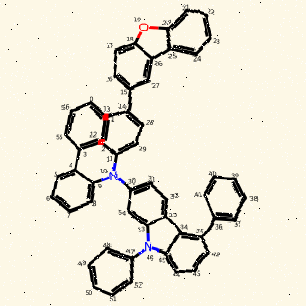 c1ccc(-c2ccccc2N(c2ccc(-c3ccc4oc5ccccc5c4c3)cc2)c2ccc3c4c(-c5ccccc5)cccc4n(-c4ccccc4)c3c2)cc1